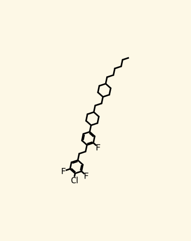 CCCCCCC1CCC(CCC2CCC(c3ccc(CCc4cc(F)c(Cl)c(F)c4)c(F)c3)CC2)CC1